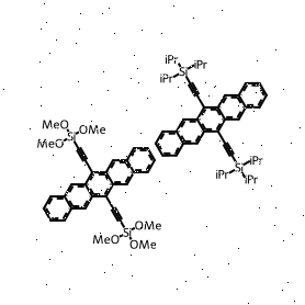 CC(C)[Si](C#Cc1c2cc3ccccc3cc2c(C#C[Si](C(C)C)(C(C)C)C(C)C)c2cc3ccccc3cc12)(C(C)C)C(C)C.CO[Si](C#Cc1c2cc3ccccc3cc2c(C#C[Si](OC)(OC)OC)c2cc3ccccc3cc12)(OC)OC